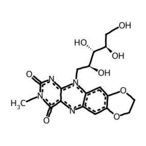 Cn1c(=O)nc2n(C[C@H](O)[C@H](O)[C@H](O)CO)c3cc4c(cc3nc-2c1=O)OCCO4